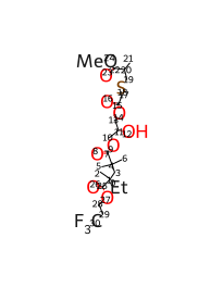 CCC(C)(CC(C)(C)C(=O)OCC(O)COC(=O)CSCC(C)C(=O)OC)C(=O)OCCC(F)(F)F